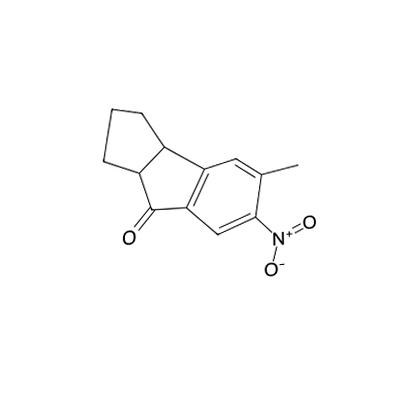 Cc1cc2c(cc1[N+](=O)[O-])C(=O)C1CCCC21